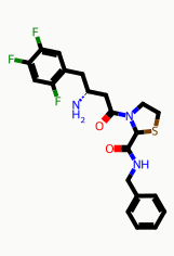 N[C@@H](CC(=O)N1CCSC1C(=O)NCc1ccccc1)Cc1cc(F)c(F)cc1F